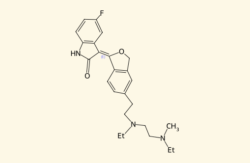 CCN(C)CCN(CC)CCc1ccc2c(c1)CO/C2=C1/C(=O)Nc2ccc(F)cc21